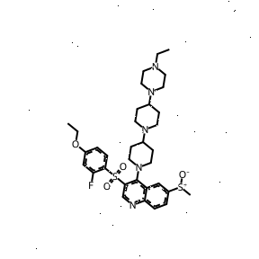 CCOc1ccc(S(=O)(=O)c2cnc3ccc([S+](C)[O-])cc3c2N2CCC(N3CCC(N4CCN(CC)CC4)CC3)CC2)c(F)c1